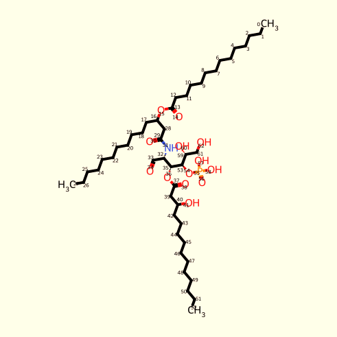 CCCCCCCCCCCCCC(=O)OC(CCCCCCCCCCC)CC(=O)N[C@@H](C=O)[C@@H](OC(=O)CC(O)CCCCCCCCCCC)[C@H](OP(=O)(O)O)[C@H](O)CO